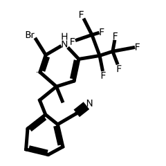 CC1(Cc2ccccc2C#N)[C]=C(Br)NC(C(F)(C(F)(F)F)C(F)(F)F)=C1